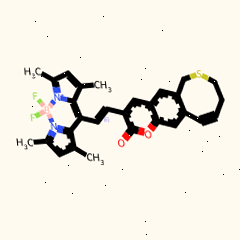 CC1=CC(C)=[N+]2C1=C(/C=C/c1cc3cc4c(cc3oc1=O)C#CCCSC4)c1c(C)cc(C)n1[B-]2(F)F